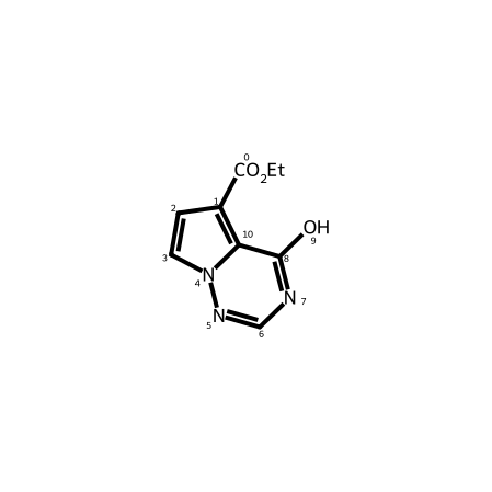 CCOC(=O)c1ccn2ncnc(O)c12